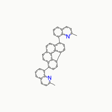 Cc1ccc2cccc(-c3ccc4c5c3ccc3ccc6c(-c7cccc8ccc(C)nc78)ccc-4c6c35)c2n1